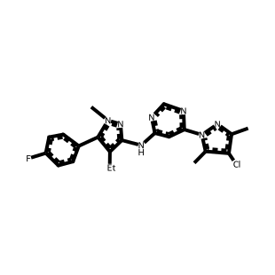 CCc1c(Nc2cc(-n3nc(C)c(Cl)c3C)ncn2)nn(C)c1-c1ccc(F)cc1